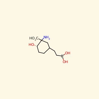 NC1(C(=O)O)CC(CCB(O)O)CC[C@@H]1O